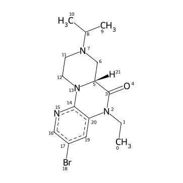 CCN1C(=O)[C@H]2CN(C(C)C)CCN2c2ncc(Br)cc21